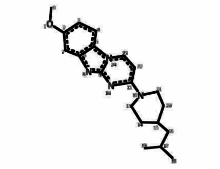 COc1ccc2c(c1)nc1nc(N3CCC(CC(C)C)CC3)ccn12